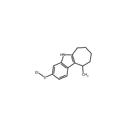 CCSc1ccc2c3c([nH]c2c1)CCCCC3C